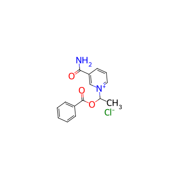 CC(OC(=O)c1ccccc1)[n+]1cccc(C(N)=O)c1.[Cl-]